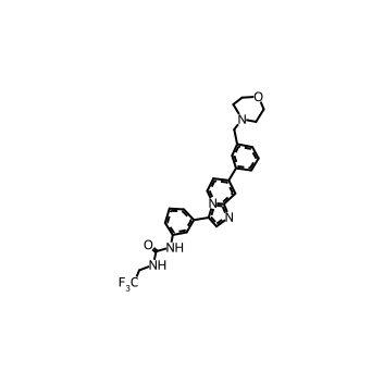 O=C(NCC(F)(F)F)Nc1cccc(-c2cnc3cc(-c4cccc(CN5CCOCC5)c4)ccn23)c1